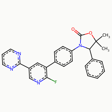 CC1(C)OC(=O)N(c2ccc(-c3cc(-c4ncccn4)cnc3F)cc2)C1c1ccccc1